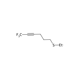 C[CH]SCCCC#CC(F)(F)F